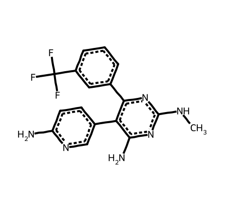 CNc1nc(N)c(-c2ccc(N)nc2)c(-c2cccc(C(F)(F)F)c2)n1